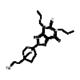 CCCn1c(=O)c2nc(C34CCC(CCO)(CC3)CC4)[nH]c2n(CCC)c1=O